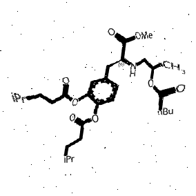 CCCCC(=O)OC(C)CN[C@@H](Cc1ccc(OC(=O)CCC(C)C)c(OC(=O)CCC(C)C)c1)C(=O)OC